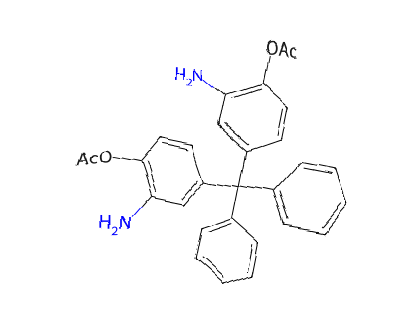 CC(=O)Oc1ccc(C(c2ccccc2)(c2ccccc2)c2ccc(OC(C)=O)c(N)c2)cc1N